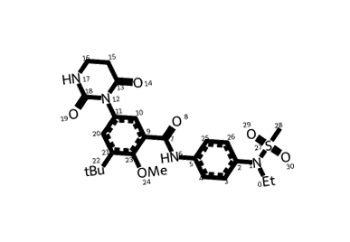 CCN(c1ccc(NC(=O)c2cc(N3C(=O)CCNC3=O)cc(C(C)(C)C)c2OC)cc1)S(C)(=O)=O